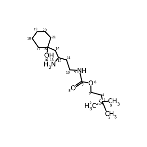 C[Si](C)(C)CCOC(=O)NCCC(N)CC1(O)CCCCC1